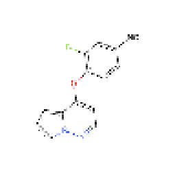 O=Nc1ccc(Oc2ccnn3cccc23)c(F)c1